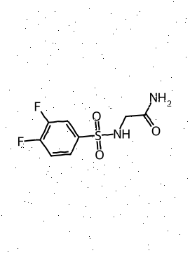 NC(=O)CNS(=O)(=O)c1ccc(F)c(F)c1